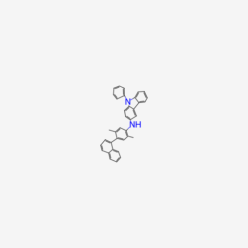 Cc1cc(-c2cccc3ccccc23)c(C)cc1Nc1ccc2c(c1)c1ccccc1n2-c1ccccc1